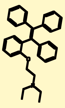 CCN(CC)CCOc1ccccc1C(=C(c1ccccc1)c1ccccc1)c1ccccc1